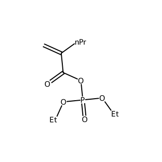 C=C(CCC)C(=O)OP(=O)(OCC)OCC